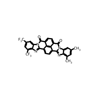 Cc1cc(C)c2nc3c4ccc5c6c(ccc(c(=O)n3c2c1)c46)c(=O)n1c2cc(C(F)(F)F)cc(C(F)(F)F)c2nc51